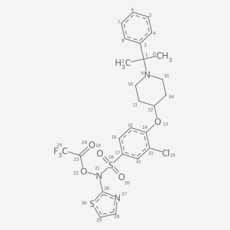 CC(C)(c1ccccc1)N1CCC(Oc2ccc(S(=O)(=O)N(OC(=O)C(F)(F)F)c3nccs3)cc2Cl)CC1